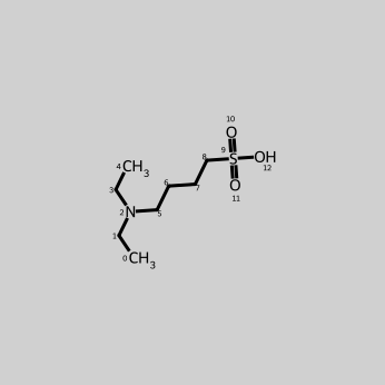 CCN(CC)CCCCS(=O)(=O)O